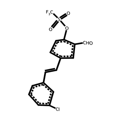 O=Cc1cc(/C=C/c2cccc(Cl)c2)ccc1OS(=O)(=O)C(F)(F)F